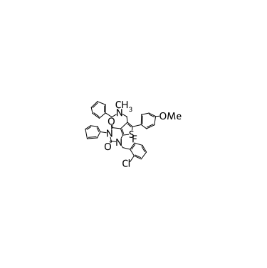 COc1ccc(-c2sc3c(c2CN(C)Cc2ccccc2)c(=O)n(-c2ccccc2)c(=O)n3Cc2c(F)cccc2Cl)cc1